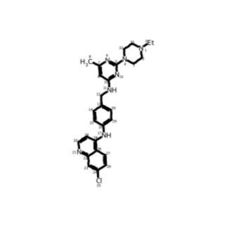 CCN1CCN(c2nc(C)cc(NCc3ccc(Nc4ccnc5cc(Cl)ccc45)cc3)n2)CC1